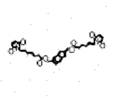 O=C(CCCCCN1C(=O)C=CC1=O)OCC1CC2C3CC(COC(=O)CCCCCCN4C(=O)C=CC4=O)C(C3)C2C1